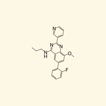 CCCNc1nc(-c2cccnc2)nc2c(OC)cc(-c3ccccc3F)cc12